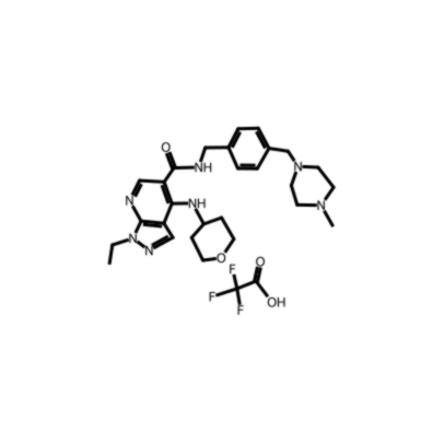 CCn1ncc2c(NC3CCOCC3)c(C(=O)NCc3ccc(CN4CCN(C)CC4)cc3)cnc21.O=C(O)C(F)(F)F